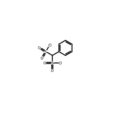 O=S(=O)(Cl)C(c1ccccc1)S(=O)(=O)Cl